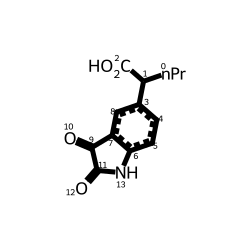 CCCC(C(=O)O)c1ccc2c(c1)C(=O)C(=O)N2